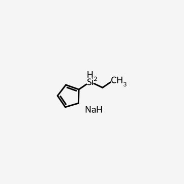 CC[SiH2]C1=CC=CC1.[NaH]